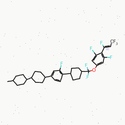 CC1CCC(C2CCC(c3ccc(C4CCC(C(F)(F)Oc5cc(F)c(/C(F)=C/C(F)(F)F)c(F)c5)CC4)c(F)c3)CC2)CC1